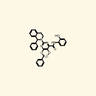 COc1c(OCc2ccccc2)nc(N2CCc3ccccc3C2c2ccccc2)nc1C(=O)Nc1ccccc1O